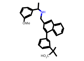 COc1cccc(C(C)NCc2cc(-c3cccc(C(C)(C)C(=O)O)c3)c3ccccc3c2)c1